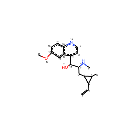 C=CC1C(C)C1CC(NC)C(O)c1ccnc2ccc(OC)cc12